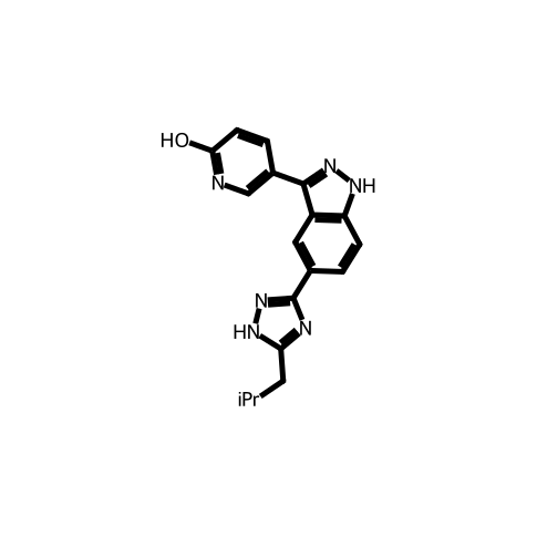 CC(C)Cc1nc(-c2ccc3[nH]nc(-c4ccc(O)nc4)c3c2)n[nH]1